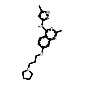 Cc1nc(Nc2cc(C)[nH]n2)c2ccc(OCCCN3CCCC3)cc2n1